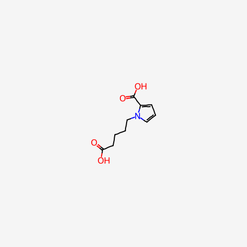 O=C(O)CCCCn1cccc1C(=O)O